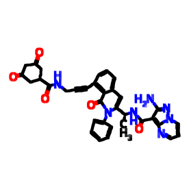 C[C@H](NC(=O)c1c(N)nn2cccnc12)c1cc2cccc(C#CCNC(=O)C3CC(=O)CC(=O)C3)c2c(=O)n1-c1ccccc1